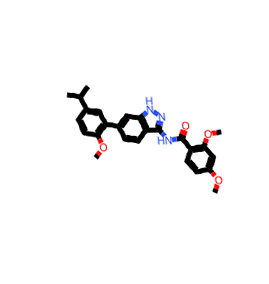 COc1ccc(C(=O)Nc2n[nH]c3cc(-c4cc(C(C)C)ccc4OC)ccc23)c(OC)c1